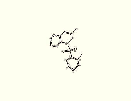 CC1=Cc2ccccc2N(S(=O)(=O)c2ccccc2C)C1